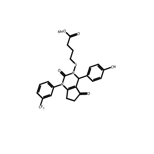 COC(=O)CCCSN1C(=O)N(c2cccc(C(F)(F)F)c2)C2=C(C(=O)CC2)C1c1ccc(C#N)cc1